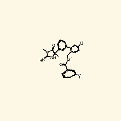 COc1cccc(C(=O)NCc2ccc(Cl)cc2-c2cccc(C3(C)NC(=N)N(C)C3=O)c2)c1